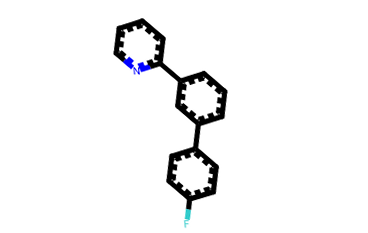 Fc1ccc(-c2cccc(-c3ccccn3)c2)cc1